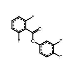 O=C(Oc1ccc(F)c(F)c1)c1c(F)cccc1F